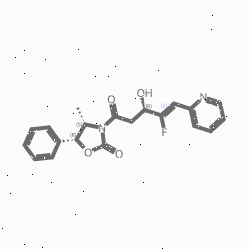 C[C@H]1[C@@H](c2ccccc2)OC(=O)N1C(=O)C[C@@H](O)/C(F)=C/c1ccccn1